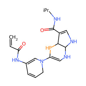 C=CC(=O)NC1=CN(C2=CNC3NC=C(C(=O)NC(C)C)C3P2)CC=C1